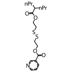 CCCC(CCC)C(=O)OCCSSCCOC(=O)c1cccnc1